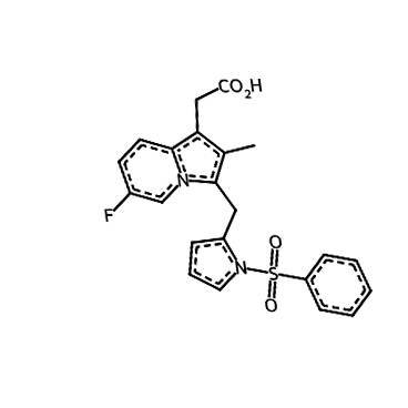 Cc1c(CC(=O)O)c2ccc(F)cn2c1Cc1cccn1S(=O)(=O)c1ccccc1